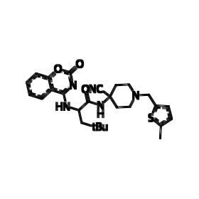 Cc1ccc(CN2CCC(C#N)(NC(=O)C(CC(C)(C)C)Nc3nc(=O)oc4ccccc34)CC2)s1